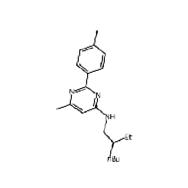 CCCCC(CC)CNc1cc(C)nc(-c2ccc(C)cc2)n1